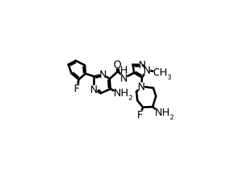 Cn1ncc(NC(=O)c2nc(-c3ccccc3F)ncc2N)c1N1CCC(N)C(F)CC1